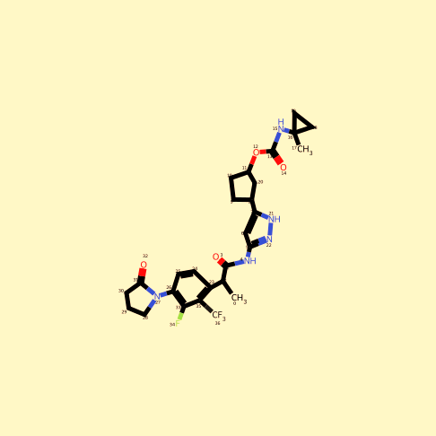 CC(C(=O)Nc1cc(C2CCC(OC(=O)NC3(C)CC3)C2)[nH]n1)c1ccc(N2CCCC2=O)c(F)c1C(F)(F)F